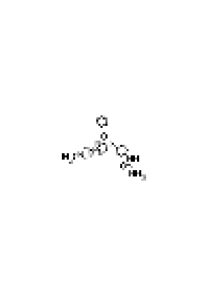 CN1CCN(c2ncc(Sc3ccc(NC(=O)CN)nc3)c(OCc3ccccc3)n2)CC1